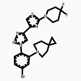 FC1(F)CCN(c2nc(-c3cn(-c4ccc(Br)cc4N4CCC5(CC4)CC5)nn3)cs2)CC1